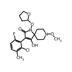 CON1CCC2(CC1)C(O)=C(c1c(F)ccc(C)c1Cl)C(=O)N2OC1CCCO1